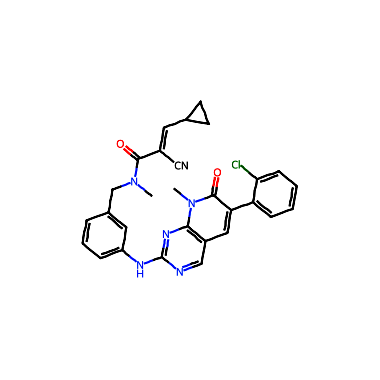 CN(Cc1cccc(Nc2ncc3cc(-c4ccccc4Cl)c(=O)n(C)c3n2)c1)C(=O)C(C#N)=CC1CC1